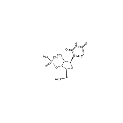 CC(=O)OC[C@@H]1O[C@H](n2ccc(=O)[nH]c2=O)C(O)C1OP(=O)(O)O